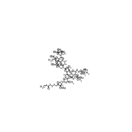 C=CC(=O)CCCCC(=C)[C@H](CCC1CC(C)C(=C)C(C[C@@H]2OC3CC(O[Si](C)(C)C(C)(C)C)C(CCO[Si](C)(C)C(C)(C)C)OC3[C@H](C)C2OC(=O)CC2CCC3O[C@@H](C(C=C)O[Si](C)(C)C(C)(C)C)C(O[Si](C)(C)C(C)(C)C)C(O[Si](C)(C)C(C)(C)C)C3O2)O1)OC